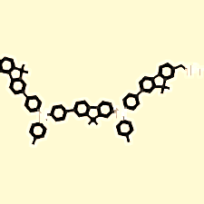 Cc1ccc(N(c2ccc(-c3ccc4c(c3)C(C)(C)c3ccccc3-4)cc2)c2ccc(-c3ccc4c(c3)C(C)(C)c3cc(N(c5ccc(C)cc5)c5ccc(-c6ccc7c(c6)C(C)(C)c6cc(CC(C)C)ccc6-7)cc5)ccc3-4)cc2)cc1